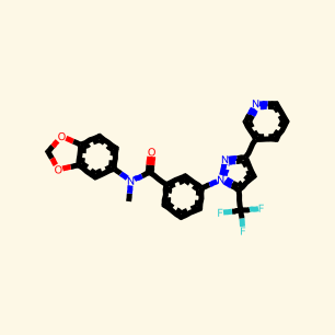 CN(C(=O)c1cccc(-n2nc(-c3cccnc3)cc2C(F)(F)F)c1)c1ccc2c(c1)OCO2